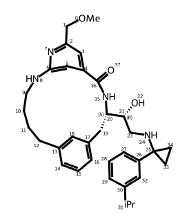 COCc1cc2cc(n1)NCCCCc1cccc(c1)C[C@@H]([C@H](O)CNC1(c3cccc(C(C)C)c3)CC1)NC2=O